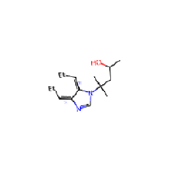 CC/C=c1/ncn(C(C)(C)CC(C)O)/c1=C/CC